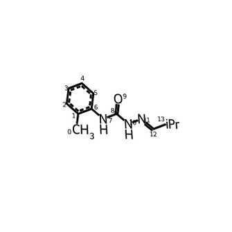 Cc1ccccc1NC(=O)N/N=C/C(C)C